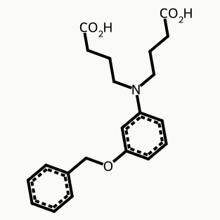 O=C(O)CCCN(CCCC(=O)O)c1cccc(OCc2ccccc2)c1